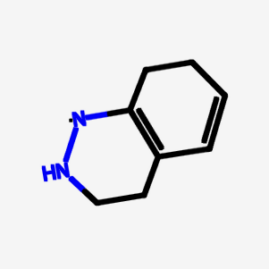 C1=CC2=C(CC1)[N]NCC2